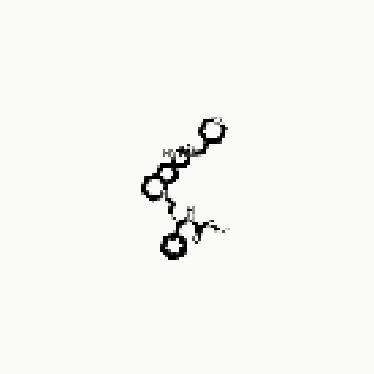 CC(C)NC1(CNCC2CCOCC2)CC2CCCN(CC[C@H](NC(=O)OC(C)C)c3ccccc3)C2C1